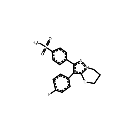 CS(=O)(=O)c1ccc(-c2nn3c(c2-c2ccc(F)cc2)OCCC3)cc1